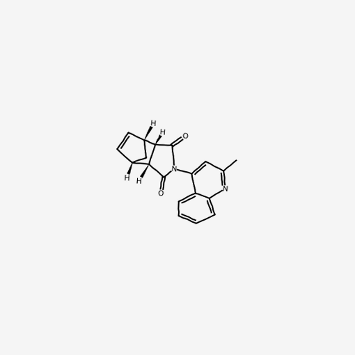 Cc1cc(N2C(=O)[C@@H]3[C@H](C2=O)[C@@H]2C=C[C@H]3C2)c2ccccc2n1